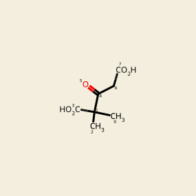 CC(C)(C(=O)O)C(=O)CC(=O)O